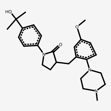 COc1ccc(N2CCN(C)CC2)c(CC2CCN(c3ccc(C(C)(C)O)cc3)C2=O)c1